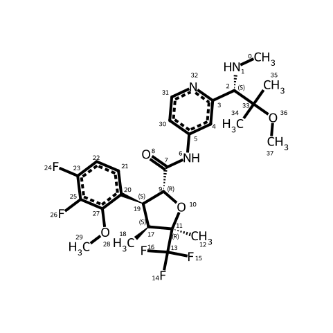 CN[C@@H](c1cc(NC(=O)[C@@H]2O[C@@](C)(C(F)(F)F)[C@@H](C)[C@H]2c2ccc(F)c(F)c2OC)ccn1)C(C)(C)OC